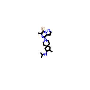 CC(C)=NC1=C(C)CC2(CCN(c3nc(C)c(Br)n4nccc34)CC2)C1